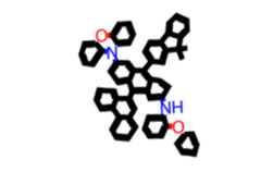 CC1(C)c2ccccc2-c2ccc(-c3c4cc(N5c6ccccc6Oc6ccccc65)ccc4c(-c4cc5ccccc5c5ccccc45)c4cc(Nc5ccccc5Oc5ccccc5)ccc34)cc21